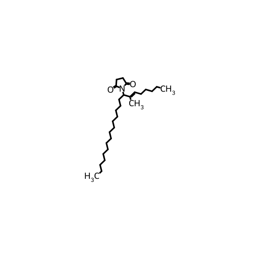 CCCCCC=C(C)C(CCCCCCCCCCCCCCC)N1C(=O)CCC1=O